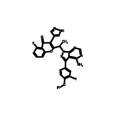 CC(C)Oc1ccc(-c2nn([C@H](C)c3oc4cccc(F)c4c(=O)c3-c3cn[nH]c3)c3ncnc(N)c23)cc1F